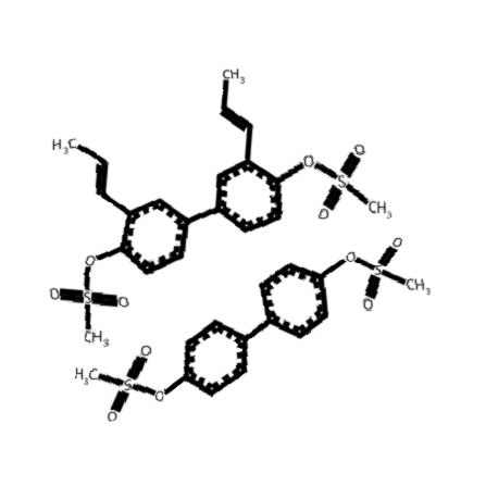 CC=Cc1cc(-c2ccc(OS(C)(=O)=O)c(C=CC)c2)ccc1OS(C)(=O)=O.CS(=O)(=O)Oc1ccc(-c2ccc(OS(C)(=O)=O)cc2)cc1